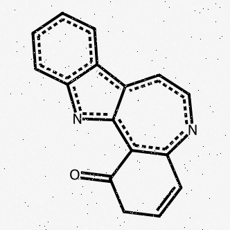 O=C1CC=Cc2nccc3c4ccccc4nc-3c21